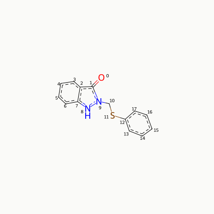 O=c1c2ccccc2[nH]n1CSc1ccccc1